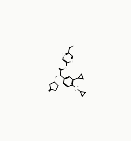 O=NCc1cnc(NC(=O)[C@H](C[C@H]2CCC(=O)C2)c2ccc(S(=O)(=O)C3CC3)c(C3CC3)c2)cn1